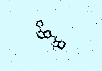 c1cnc2c(Nc3ccc4c(N5CCCC5)nccc4c3)n[nH]c2c1